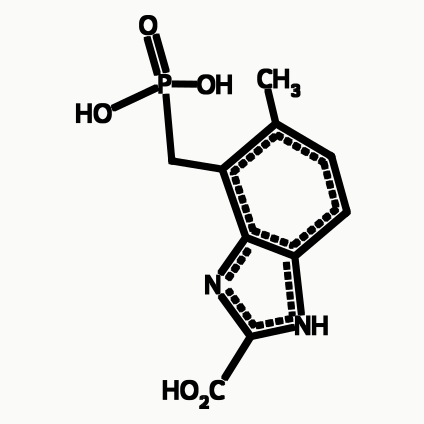 Cc1ccc2[nH]c(C(=O)O)nc2c1CP(=O)(O)O